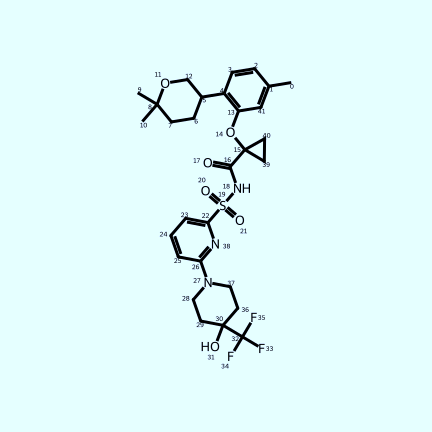 Cc1ccc(C2CCC(C)(C)OC2)c(OC2(C(=O)NS(=O)(=O)c3cccc(N4CCC(O)(C(F)(F)F)CC4)n3)CC2)c1